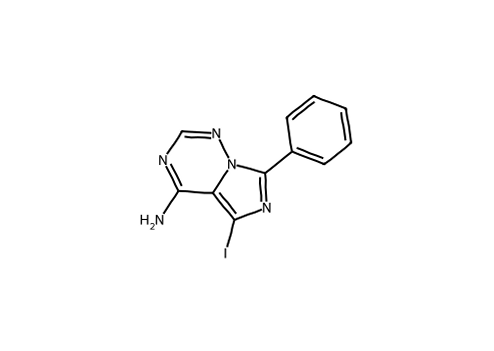 Nc1ncnn2c(-c3ccccc3)nc(I)c12